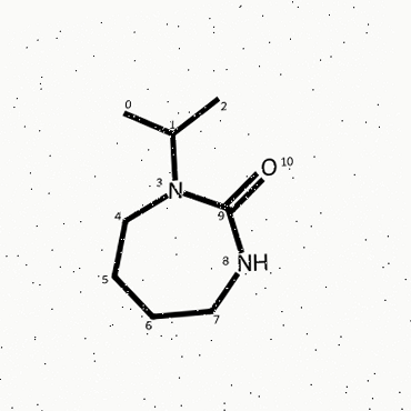 CC(C)N1CCCCNC1=O